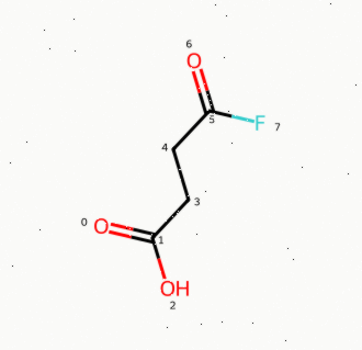 O=C(O)CCC(=O)F